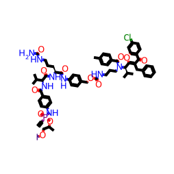 C#CP(=O)(Nc1ccc(C(=O)N[C@H](C(=O)N[C@@H](CCCNC(N)=O)C(=O)Nc2ccc(COC(=O)NCCCN(C(=O)c3ccc(C)cc3)[C@@H](c3oc4cc(Cl)ccc4c(=O)c3Cc3ccccc3)C(C)C)cc2)C(C)C)cc1)OC(C)COI